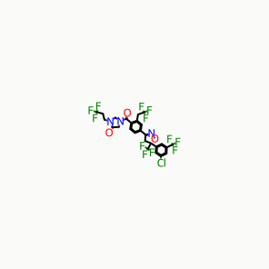 O=C1CN(C(=O)c2ccc(C3=NOC(c4cc(Cl)cc(C(F)(F)F)c4)(C(F)(F)F)C3)cc2CC(F)(F)F)CN1CCC(F)(F)F